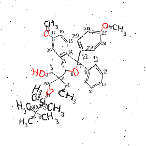 CCC(CO)(COC(c1ccccc1)(c1ccc(OC)cc1)c1ccc(OC)cc1)CO[Si](C)(C)C(C)(C)C